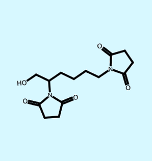 O=C1CCC(=O)N1CCCCC(CO)N1C(=O)CCC1=O